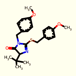 COc1ccc(CSC2=NC(C(C)(C)C)C(=O)N2Cc2ccc(OC)cc2)cc1